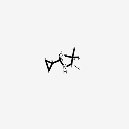 C[C@H](NC(=O)C1CC1)C(C)(C)C